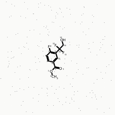 COC(=O)c1ccc(F)c(C(F)(F)CO)c1